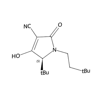 CC(C)(C)CCN1C(=O)C(C#N)=C(O)[C@@H]1C(C)(C)C